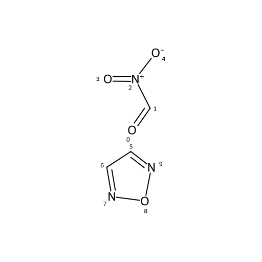 O=C[N+](=O)[O-].c1cnon1